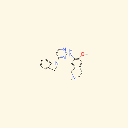 COc1cc2c(cc1Nc1nccc(N3CCc4ccccc43)n1)CN(C)CC2